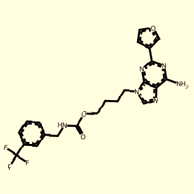 Nc1nc(-c2ccoc2)nc2c1ncn2CCCCOC(=O)NCc1cccc(C(F)(F)F)c1